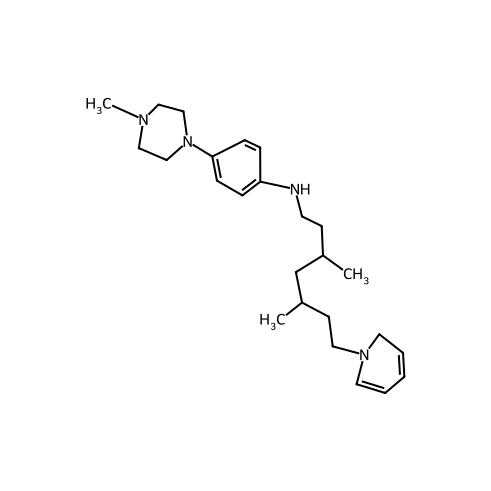 CC(CCNc1ccc(N2CCN(C)CC2)cc1)CC(C)CCN1C=CC=CC1